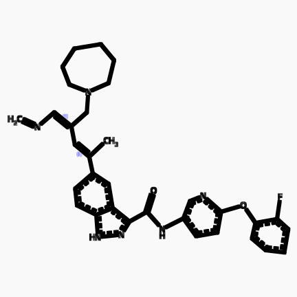 C=N/C=C(\C=C(/C)c1ccc2[nH]nc(C(=O)Nc3ccc(Oc4ccccc4F)nc3)c2c1)CN1CCCCCC1